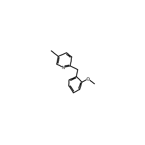 COc1ccccc1Cc1ccc(C)cn1